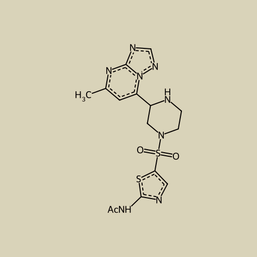 CC(=O)Nc1ncc(S(=O)(=O)N2CCNC(c3cc(C)nc4ncnn34)C2)s1